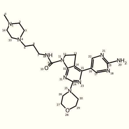 CN1CCN(CCCNC(=O)N2CCc3c(-c4cnc(N)nc4)nc(N4CCOCC4)nc32)CC1